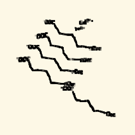 CCCCCCCCCCCCCC(=O)[O-].CCCCCCCCCCCCCC(=O)[O-].CCCCCCCCCCCCCC(=O)[O-].CCCCCCCCCCCCCC(=O)[O-].CCCCCCCCCCCCCC(=O)[O-].[Fe+2].[Gd+3]